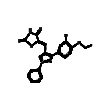 CCOc1ccc(-c2nn(-c3ccccc3)cc2C=C2SC(=O)NC2=O)cc1Br